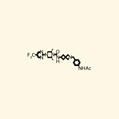 CC(=O)Nc1ccc(CN2CC3(CC(NC(=O)N4[C@H](C)CN(c5ncc(C(F)(F)F)cn5)C[C@@H]4C)C3)C2)cc1